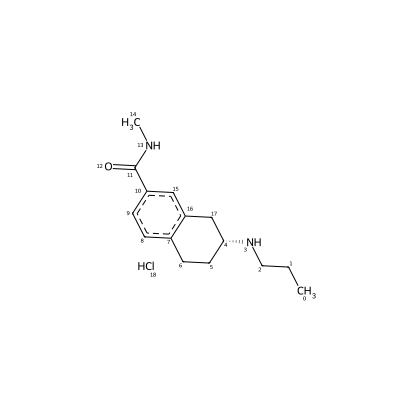 CCCN[C@@H]1CCc2ccc(C(=O)NC)cc2C1.Cl